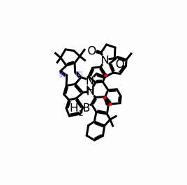 Bc1c(N(c2ccc(N3C(=O)CCC3=O)cc2-c2ccccc2)c2c3c(cc4ccccc24)/C=C/C2=C(/C=C/3NC=Cc3ccc(C)cc3)C(C)(C)CCC2(C)C)ccc2c1C1=C(C=CCC1)C2(C)C